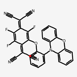 N#CC(C#N)=c1c(F)c(F)c(=C(C#N)C#N)c(Oc2ccccc2N2c3ccccc3Oc3ccccc32)c1F